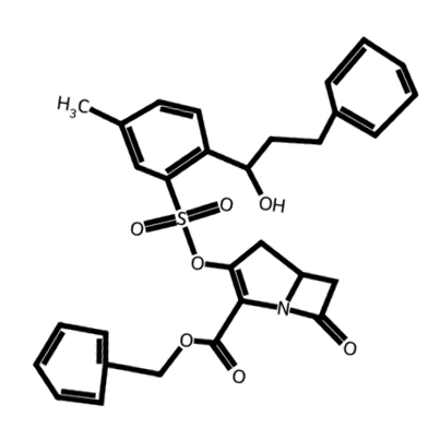 Cc1ccc(C(O)CCc2ccccc2)c(S(=O)(=O)OC2=C(C(=O)OCc3ccccc3)N3C(=O)CC3C2)c1